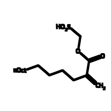 C=C(CCCCCCCCCCCC)C(=O)OCS(=O)(=O)O